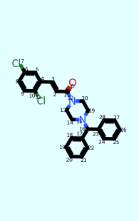 O=C(C=Cc1cc(Cl)ccc1Cl)N1CCN(C(c2ccccc2)c2ccccc2)CC1